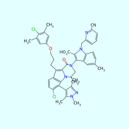 Cc1ccc2c(c1)c(N1C[C@@H](C)n3c(c(CCCOc4cc(C)c(Cl)c(C)c4)c4ccc(Cl)c(-c5c(C)nn(C)c5C)c43)C1=O)c(C(=O)O)n2Cc1cccc(C#N)n1